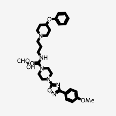 COc1ccc(-c2noc(N3CCN(C(=O)NCCCN4CCC(Oc5ccccc5)CC4)CC3)n2)cc1.O=CO